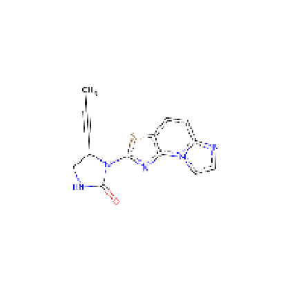 CC#CC1CNC(=O)N1c1nc2c(ccc3nccn32)s1